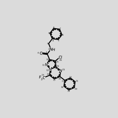 O=C(NCc1ccccc1)c1nn2c(C(F)(F)F)cc(-c3ccccc3)nc2c1Cl